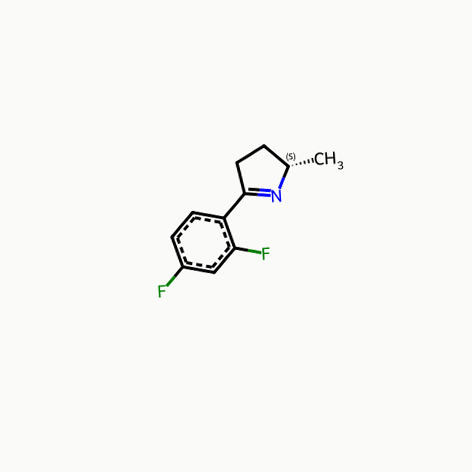 C[C@H]1CCC(c2ccc(F)cc2F)=N1